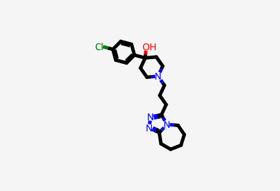 OC1(c2ccc(Cl)cc2)CCN(CCCc2nnc3n2CCCCC3)CC1